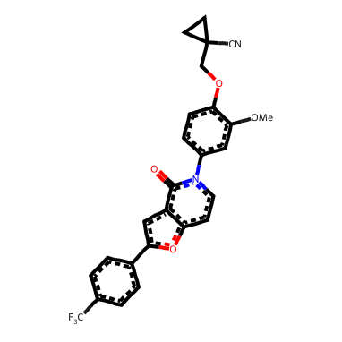 COc1cc(-n2ccc3oc(-c4ccc(C(F)(F)F)cc4)cc3c2=O)ccc1OCC1(C#N)CC1